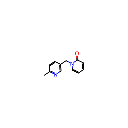 Cc1ccc(Cn2ccccc2=O)cn1